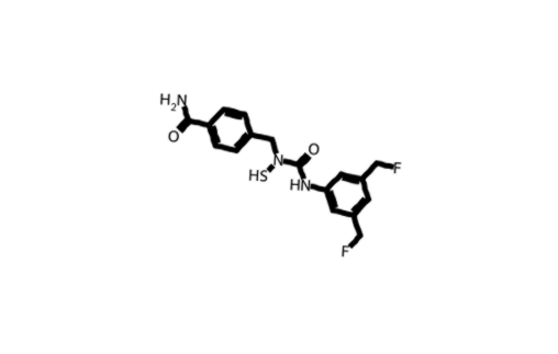 NC(=O)c1ccc(CN(S)C(=O)Nc2cc(CF)cc(CF)c2)cc1